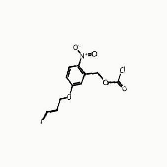 O=C(Cl)OCc1cc(OCCCI)ccc1[N+](=O)[O-]